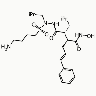 CC(C)C[C@@H](C(=O)NN(CC(C)C)S(=O)(=O)CCCCN)[C@H](CC=Cc1ccccc1)C(=O)NO